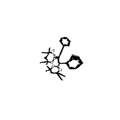 CC1(C)CC(C)(C)OB(/C(=C(\B2OC(C)(C)CC(C)(C)O2)c2ccccc2)c2ccccc2)O1